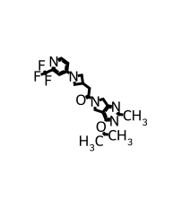 Cc1nc2c(c(OC(C)C)n1)CN(C(=O)CC1CN(c3ccnc(C(F)(F)F)c3)C1)C2